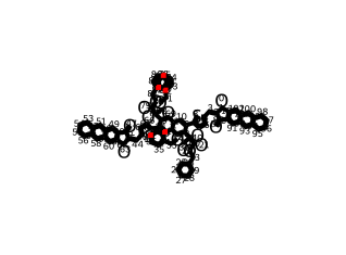 O=C1C(=Cc2cc3c(s2)C2=CC4C=C5C(=CC4C=C2C(C(=O)OCc2ccccc2)(C(=O)OCc2ccccc2)O3)c2sc(C=C3C(=O)c4cc6cc7ccccc7cc6cc4C3=O)cc2OC5(C(=O)OCc2ccccc2)C(=O)OCc2ccccc2)C(=O)c2cc3cc4ccccc4cc3cc21